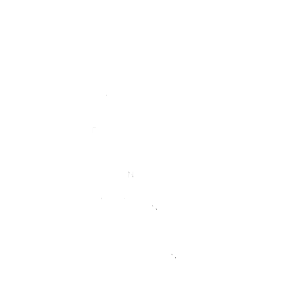 CCCCOc1cccc(CNC(=O)c2ccc3ncccc3n2)c1F